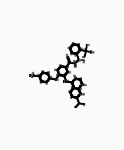 CC(C)c1ccc2c(Nc3cc(C(=O)N[C@@H](C)c4ccccc4C(F)(F)F)ccc3Sc3ccc(N)cc3)ncnc2n1